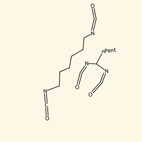 CCCCCC(N=C=O)N=C=O.O=C=NCCCCCCN=C=O